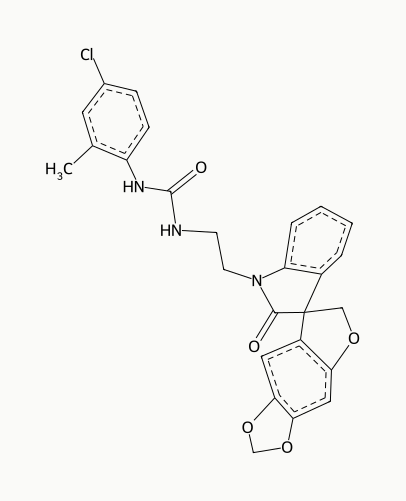 Cc1cc(Cl)ccc1NC(=O)NCCN1C(=O)C2(COc3cc4c(cc32)OCO4)c2ccccc21